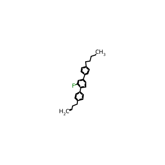 C=CCCc1ccc(-c2ccc(-c3ccc(CCCCC)cc3)cc2F)cc1